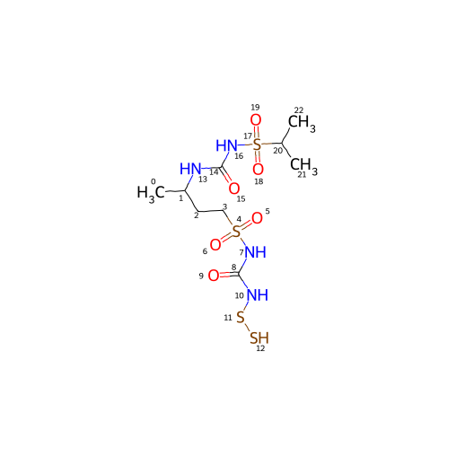 CC(CCS(=O)(=O)NC(=O)NSS)NC(=O)NS(=O)(=O)C(C)C